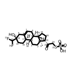 C[C@]12CC[C@H]3[C@@H](CC=C4C[C@@](O)(C(F)F)CC[C@@H]43)[C@@H]1CC[C@@H]2C(=O)CSS(=O)(=O)O